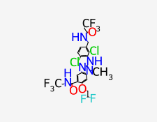 Cn1c(Nc2c(Cl)ccc(CNC(=O)CC(F)(F)F)c2Cl)nc2cc(C(=O)NCC(F)(F)F)c(OCC(F)F)cc21